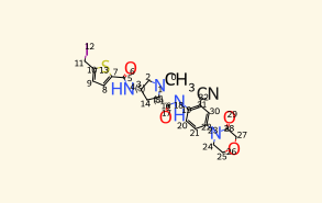 CN1C[C@@H](NC(=O)c2ccc(CI)s2)C[C@H]1C(=O)Nc1ccc(N2CCOCC2=O)cc1C#N